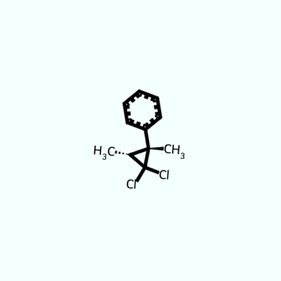 C[C@H]1C(Cl)(Cl)[C@@]1(C)c1ccccc1